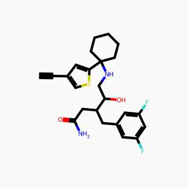 C#Cc1csc(C2(NCC(O)C(CC(N)=O)Cc3cc(F)cc(F)c3)CCCCC2)c1